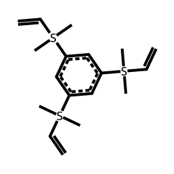 C=CS(C)(C)c1cc(S(C)(C)C=C)cc(S(C)(C)C=C)c1